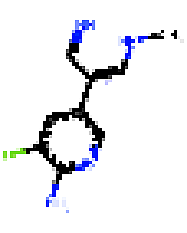 CN/C=C(\C=N)c1cnc(N)c(F)c1